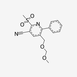 COCOCc1cc(C#N)c(S(C)(=O)=O)nc1-c1ccccc1